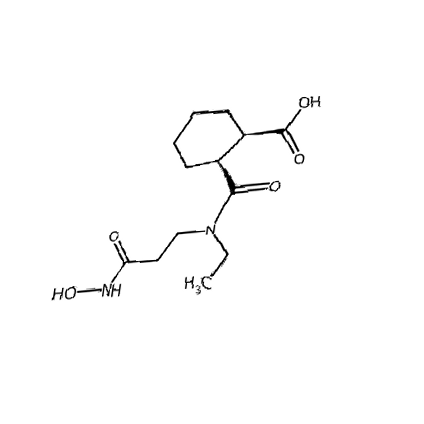 CCN(CCC(=O)NO)C(=O)[C@H]1CCCC[C@H]1C(=O)O